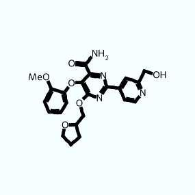 COc1ccccc1Oc1c(OCC2CCCO2)nc(-c2ccnc(CO)c2)nc1C(N)=O